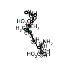 Cc1c(-c2ccc(N3CCc4cccc(C(=O)Nc5nc6ccccc6s5)c4C3)nc2C(=O)O)cnn1CC12CC3(C)CC(C)(C1)CC(OCCOCCNC(=O)OC/C=C/c1ccc(O[C@@H]4O[C@H](C(=O)O)[C@@H](O)[C@H](O)[C@H]4O)c(NC(=O)CCN)c1)(C3)C2